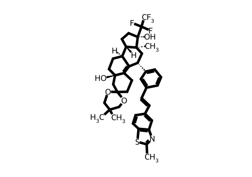 Cc1nc2cc(C=Cc3cccc([C@H]4C[C@@]5(C)[C@@H](CC[C@@]5(O)C(F)(F)C(F)(F)F)[C@@H]5CC[C@@]6(O)CC7(CCC6=C54)OCC(C)(C)CO7)c3)ccc2s1